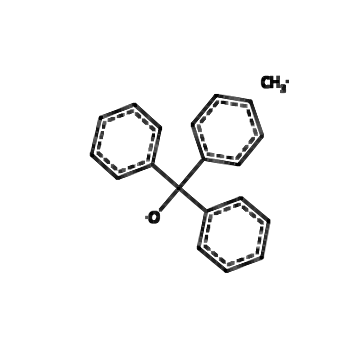 [CH3].[O]C(c1ccccc1)(c1ccccc1)c1ccccc1